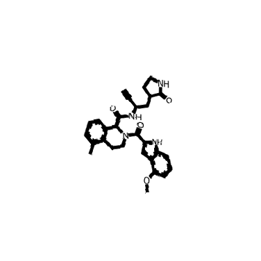 C#CC(CC1CCNC1=O)NC(=O)C1c2cccc(C)c2CCN1C(=O)c1cc2c(OC)cccc2[nH]1